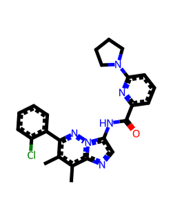 Cc1c(-c2ccccc2Cl)nn2c(NC(=O)c3cccc(N4CCCC4)n3)cnc2c1C